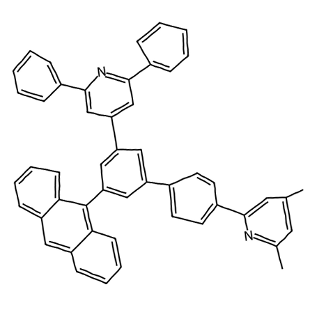 Cc1cc(C)nc(-c2ccc(-c3cc(-c4cc(-c5ccccc5)nc(-c5ccccc5)c4)cc(-c4c5ccccc5cc5ccccc45)c3)cc2)c1